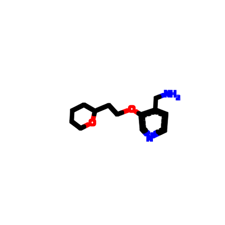 NCc1ccncc1OCCC1CCCCO1